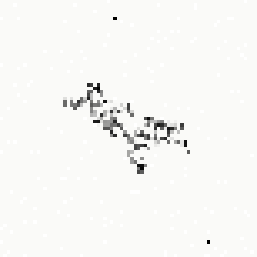 C=C(C)[C@H]1CC[C@@]2(C)OP(=S)(OC[C@H]3O[C@@H](n4cc(C)c(=O)[nH]c4=O)C[C@@H]3N=[N+]=[N-])S[C@@H]2C1